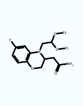 CCOC(CN1c2cc(F)ccc2OCC1CC(N)=O)OCC